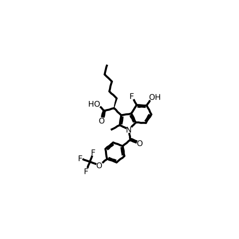 CCCCC[C@H](C(=O)O)c1c(C)n(C(=O)c2ccc(OC(F)(F)F)cc2)c2ccc(O)c(F)c12